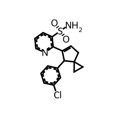 NS(=O)(=O)c1cccnc1C1=CCC2(CC2)C1c1cccc(Cl)c1